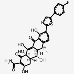 C[C@H]1c2ccc(-c3ncc(-c4ccc(F)cc4)s3)c(O)c2C(=O)C2=C(O)[C@]3(O)C(=O)C(C(N)=O)=C(O)C[C@@H]3[C@@H](O)[C@@H]21